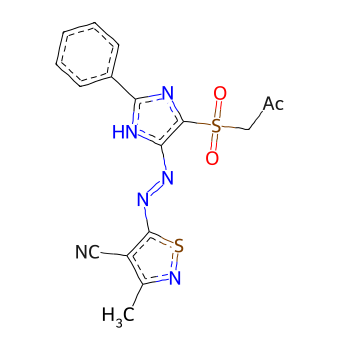 CC(=O)CS(=O)(=O)c1nc(-c2ccccc2)[nH]c1/N=N/c1snc(C)c1C#N